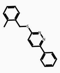 Cc1ccccc1CSc1ccc(-c2ccccc2)nn1